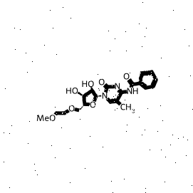 COCCOC[C@H]1O[C@@H](n2cc(C)c(NC(=O)c3ccccc3)nc2=O)[C@H](O)[C@@H]1O